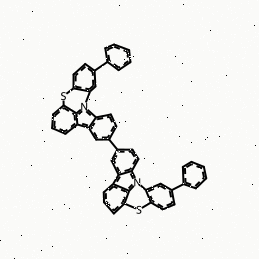 c1ccc(-c2ccc3c(c2)-n2c4ccc(-c5ccc6c(c5)c5cccc7c5n6-c5cc(-c6ccccc6)ccc5S7)cc4c4cccc(c42)S3)cc1